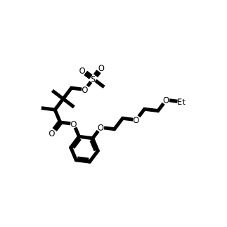 CCOCCOCCOc1ccccc1OC(=O)C(C)C(C)(C)COS(C)(=O)=O